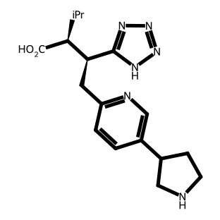 CC(C)[C@H](C(=O)O)[C@H](Cc1ccc(C2CCNC2)cn1)c1nnn[nH]1